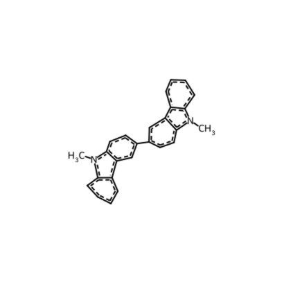 Cn1c2ccccc2c2cc(-c3ccc4c(c3)c3ccccc3n4C)ccc21